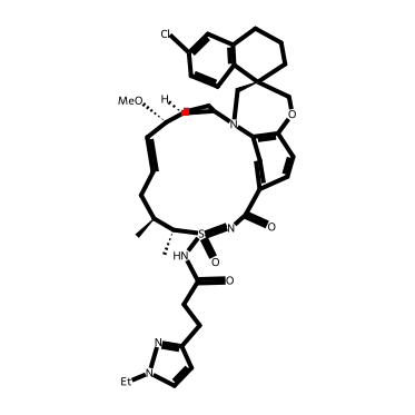 CCn1ccc(CCC(=O)NS2(=O)=NC(=O)c3ccc4c(c3)N(C[C@@]3(CCCc5cc(Cl)ccc53)CO4)C3CC[C@H]3[C@@H](OC)/C=C/C[C@H](C)[C@H]2C)n1